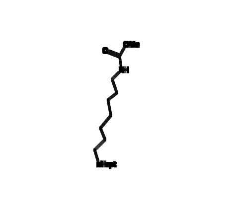 CCCCCCCCCCCCCCNC(=O)OC